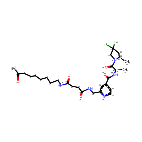 CC(C)C(=O)CCCCCCCNC(=O)CCC(=O)NCc1cc(C(=O)N[C@H](C)C(=O)N2CC(F)(F)C[C@H]2C)ccn1